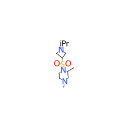 CC(C)N1CC(S(=O)(=O)N2CCN(C)CC2C)C1